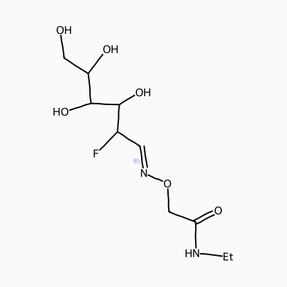 CCNC(=O)CO/N=C/C(F)C(O)C(O)C(O)CO